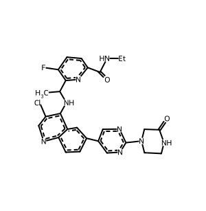 CCNC(=O)c1ccc(F)c(C(C)Nc2c(Cl)cnc3ccc(-c4cnc(N5CCNC(=O)C5)nc4)cc23)n1